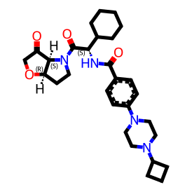 O=C(N[C@H](C(=O)N1CC[C@H]2OCC(=O)[C@H]21)C1CCCCC1)c1ccc(N2CCN(C3CCC3)CC2)cc1